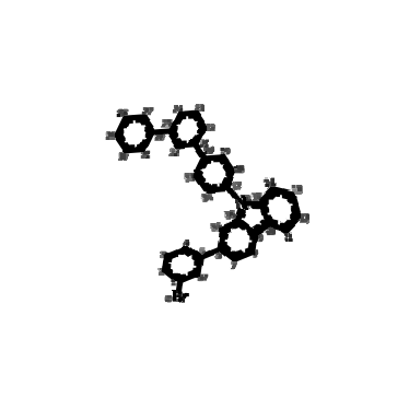 Brc1cccc(-c2ccc3c4ccccc4n(-c4ccc(-c5cccc(-c6ccccc6)c5)cc4)c3c2)c1